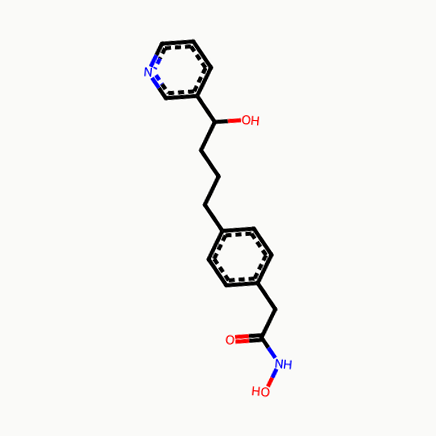 O=C(Cc1ccc(CCCC(O)c2cccnc2)cc1)NO